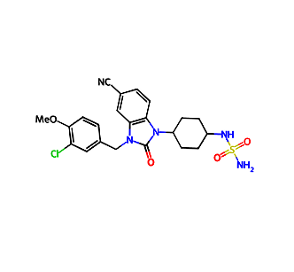 COc1ccc(Cn2c(=O)n(C3CCC(NS(N)(=O)=O)CC3)c3ccc(C#N)cc32)cc1Cl